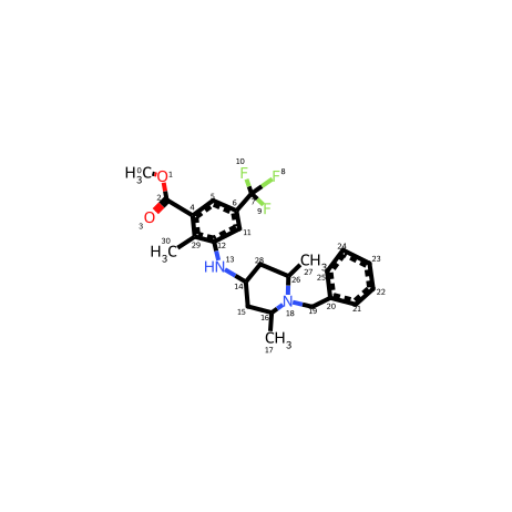 COC(=O)c1cc(C(F)(F)F)cc(NC2CC(C)N(Cc3ccccc3)C(C)C2)c1C